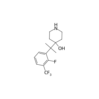 CC(C)(c1cccc(C(F)(F)F)c1F)C1(O)CCNCC1